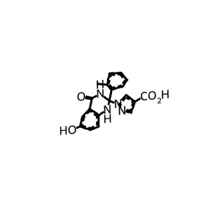 Cc1ccccc1C1(n2cc(C(=O)O)cn2)NC(=O)c2cc(O)ccc2N1